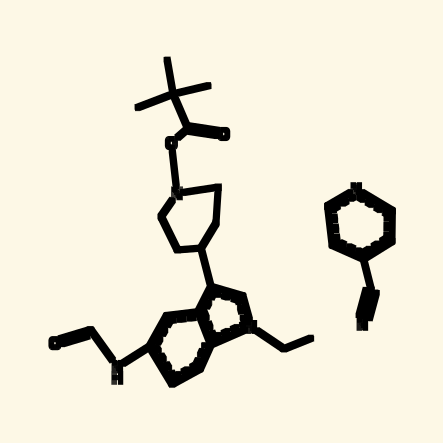 CCn1cc(C2CCN(OC(=O)C(C)(C)C)CC2)c2cc(NC=O)ccc21.N#Cc1ccncc1